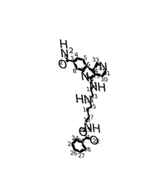 NC(=O)c1ccc2c(c1)nc(NCCNCCCCNOC(=O)c1ccccc1)c1ccncc12